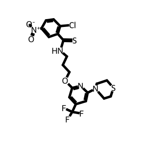 O=[N+]([O-])c1ccc(Cl)c(C(=S)NCCCOc2cc(C(F)(F)F)cc(N3CCSCC3)n2)c1